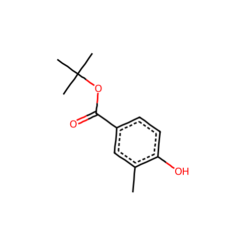 Cc1cc(C(=O)OC(C)(C)C)ccc1O